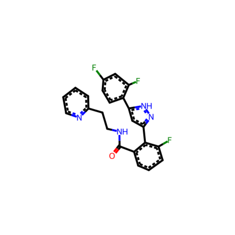 O=C(NCCc1ccccn1)c1cccc(F)c1-c1cc(-c2ccc(F)cc2F)[nH]n1